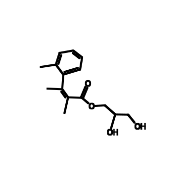 CC(C(=O)OCC(O)CO)=C(C)c1ccccc1C